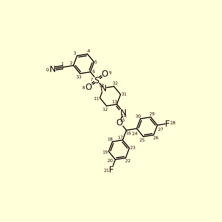 N#Cc1cccc(S(=O)(=O)N2CCC(=NOC(c3ccc(F)cc3)c3ccc(F)cc3)CC2)c1